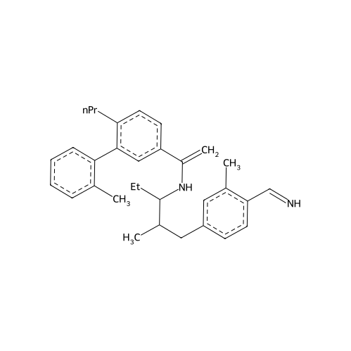 C=C(NC(CC)C(C)Cc1ccc(C=N)c(C)c1)c1ccc(CCC)c(-c2ccccc2C)c1